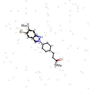 CNC(=O)CC[C@H]1CC[C@@H](n2cc3cc(Br)c(OC)cc3n2)CC1